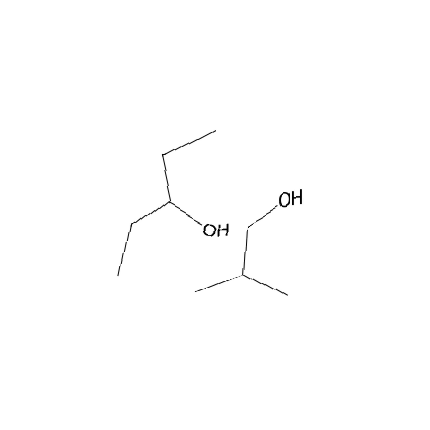 CC(C)CO.CCC(O)CC